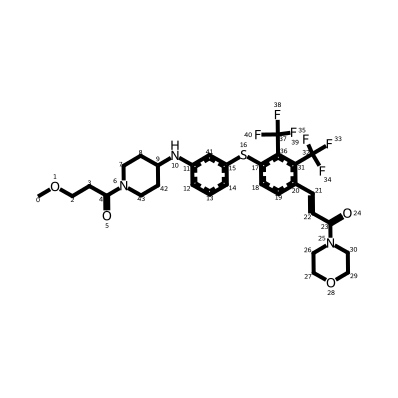 COCCC(=O)N1CCC(Nc2cccc(Sc3ccc(C=CC(=O)N4CCOCC4)c(C(F)(F)F)c3C(F)(F)F)c2)CC1